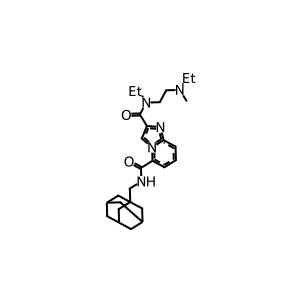 CCN(C)CCN(CC)C(=O)c1cn2c(C(=O)NCC34CC5CC(CC(C5)C3)C4)cccc2n1